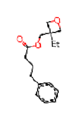 CCC1(COC(=O)CCCc2ccccc2)COC1